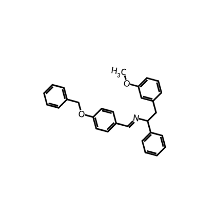 COc1cccc(CC(N=Cc2ccc(OCc3ccccc3)cc2)c2ccccc2)c1